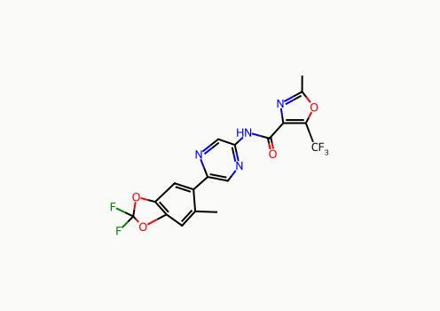 Cc1nc(C(=O)Nc2cnc(-c3cc4c(cc3C)OC(F)(F)O4)cn2)c(C(F)(F)F)o1